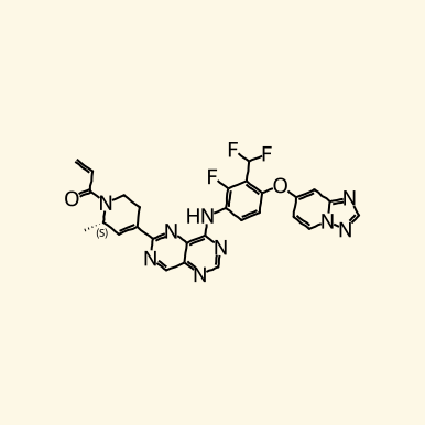 C=CC(=O)N1CCC(c2ncc3ncnc(Nc4ccc(Oc5ccn6ncnc6c5)c(C(F)F)c4F)c3n2)=C[C@@H]1C